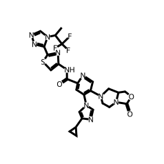 CC(n1cnnc1-c1nc(NC(=O)c2cc(-n3cnc(C4CC4)c3)c(N3CCN4C(=O)OCC4C3)cn2)cs1)C(F)(F)F